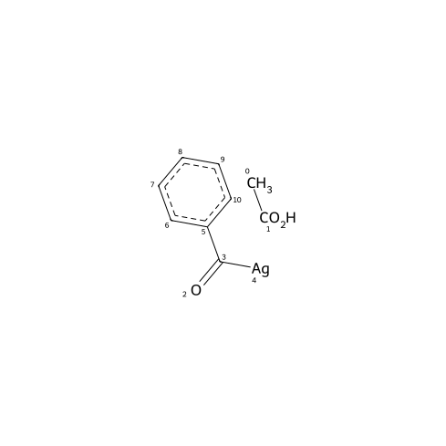 CC(=O)O.O=[C]([Ag])c1ccccc1